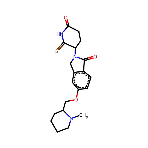 CN1CCCCC1COc1ccc2c(c1)CN(C1CCC(=O)NC1=S)C2=O